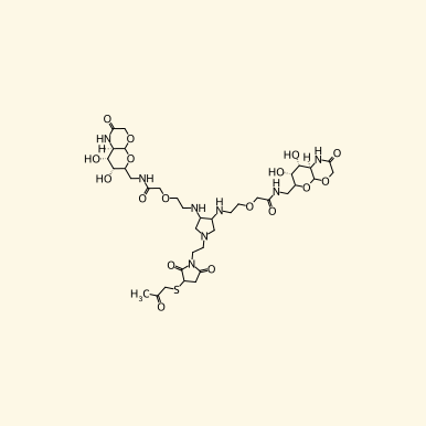 CC(=O)CSC1CC(=O)N(CCN2CC(NCCOCC(=O)NCC3OC4OCC(=O)N[C@@H]4[C@@H](O)[C@H]3O)C(NCCOCC(=O)NCC3OC4OCC(=O)N[C@@H]4[C@@H](O)[C@H]3O)C2)C1=O